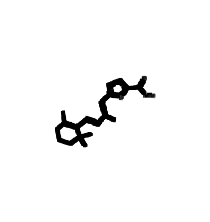 CNC(=O)c1ccc(C=C(C)C=CC2=C(C)CCCC2(C)C)o1